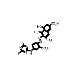 Nc1c(N=Nc2ccc(Nc3nc(F)nc(F)n3)cc2S(=O)(=O)O)c(S(=O)(=O)O)cc2cc(S(=O)(=O)O)cc(O)c12